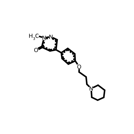 Cn1ncc(-c2ccc(OCCCN3CCCCC3)cc2)cc1=O